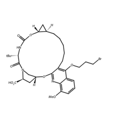 COc1cccc2c(OCCCBr)c3c(nc12)O[C@@H]1C[C@@H](C(=O)O)N(C1)C(=O)[C@H](C(C)(C)C)NC(=O)O[C@@H]1C[C@H]1CCCCC3